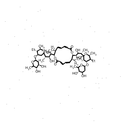 CC[C@@H]1[C@@H](C)O[C@@](O)([C@@H](C)[C@H](O)[C@H](C)[C@H]2OC(=O)/C=C/C=C/[C@H](C)[C@@H]([C@@H](C)[C@@H](O)[C@H](C)[C@@]3(O)C[C@@H](O[C@H]4C[C@@H](O)[C@H](O)C(C)O4)[C@H](CC)[C@@H](C)O3)OC(=O)/C=C/C=C/[C@@H]2C)C[C@H]1O[C@@H]1C[C@@H](O)[C@H](O)C(C)O1